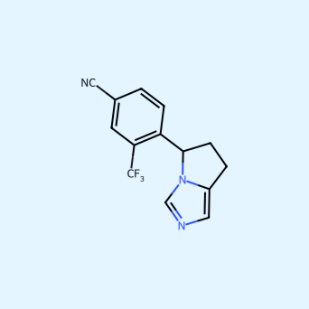 N#Cc1ccc(C2CCc3cncn32)c(C(F)(F)F)c1